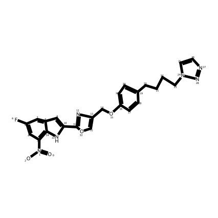 O=[N+]([O-])c1cc(F)cc2cc(-c3nc(COc4ccc(CCCCn5ccnn5)cc4)co3)[nH]c12